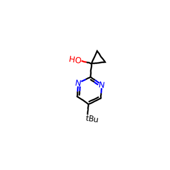 CC(C)(C)c1cnc(C2(O)CC2)nc1